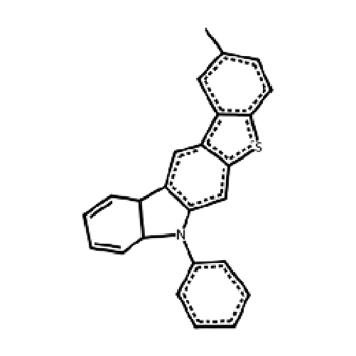 Cc1ccc2sc3cc4c(cc3c2c1)C1C=CC=CC1N4c1ccccc1